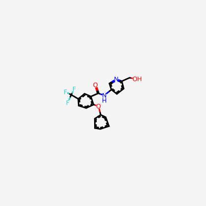 O=C(Nc1ccc(CO)nc1)c1cc(C(F)(F)F)ccc1Oc1ccccc1